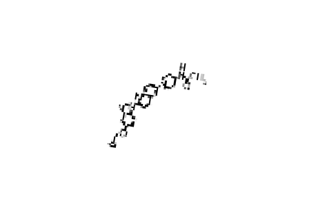 CC(=O)NC1CCN(c2ccc3nc(-n4cnc5cc(OCC6CC6)ccc54)ccc3c2)CC1